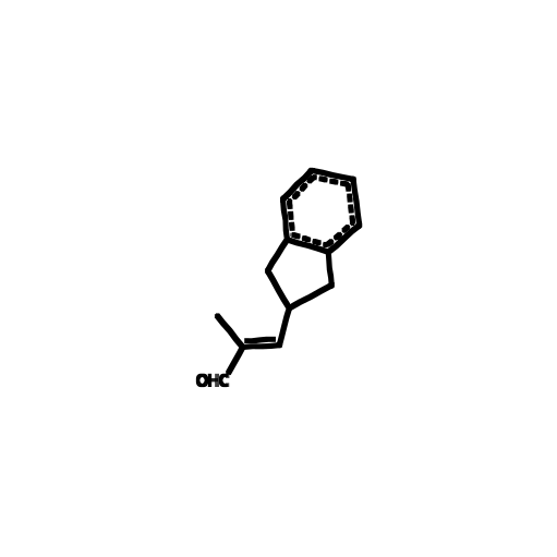 CC(C=O)=CC1Cc2ccccc2C1